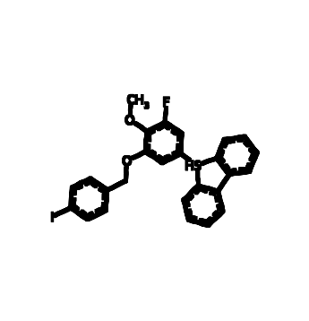 COc1c(F)cc([SH]2c3ccccc3-c3ccccc32)cc1OCc1ccc(I)cc1